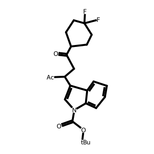 CC(=O)C(CC(=O)C1CCC(F)(F)CC1)c1cn(C(=O)OC(C)(C)C)c2ccccc12